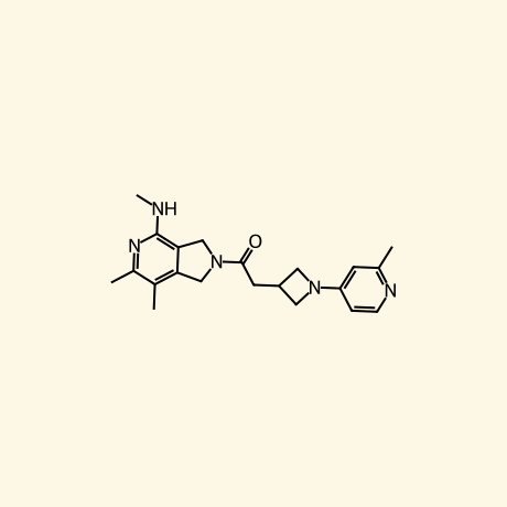 CNc1nc(C)c(C)c2c1CN(C(=O)CC1CN(c3ccnc(C)c3)C1)C2